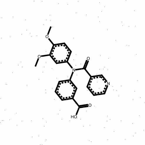 COc1ccc(N(C(=O)c2cccnc2)c2cccc(C(=O)O)c2)cc1OC